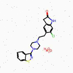 O.O.O=C1Cc2cc(CCN3CCN(c4nsc5ccccc45)CC3)c(Cl)cc2N1